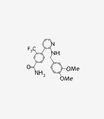 COc1ccc(CNc2ncccc2-c2ccc(C(N)=O)cc2C(F)(F)F)cc1OC